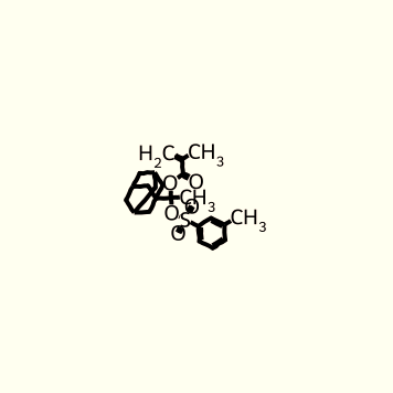 C=C(C)C(=O)OC(C)(OS(=O)(=O)c1cccc(C)c1)C12CC3CC(CC(C3)C1)C2